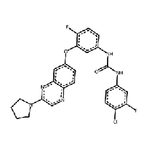 O=C(Nc1ccc(Cl)c(F)c1)Nc1ccc(F)c(Oc2ccc3ncc(N4CCCC4)nc3c2)c1